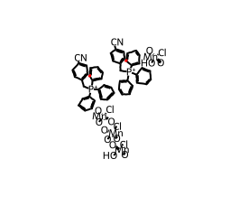 N#Cc1ccc(C[P+](c2ccccc2)(c2ccccc2)c2ccccc2)cc1.N#Cc1ccc(C[P+](c2ccccc2)(c2ccccc2)c2ccccc2)cc1.[O]=[Mn](=[O])([O-])[Cl].[O]=[Mn](=[O])([O-])[Cl].[O]=[Mn](=[O])([OH])[Cl].[O]=[Mn](=[O])([OH])[Cl]